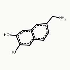 NCc1ccc2cc(O)c(O)cc2c1